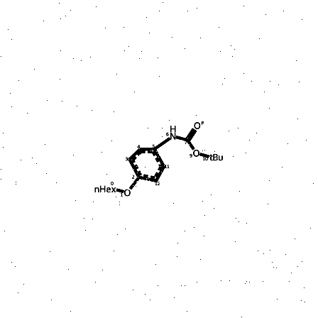 CCCCCCOc1ccc(NC(=O)OC(C)(C)C)cc1